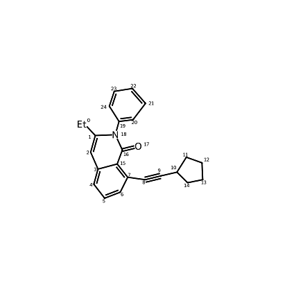 CCc1cc2cccc(C#CC3CCCC3)c2c(=O)n1-c1ccccc1